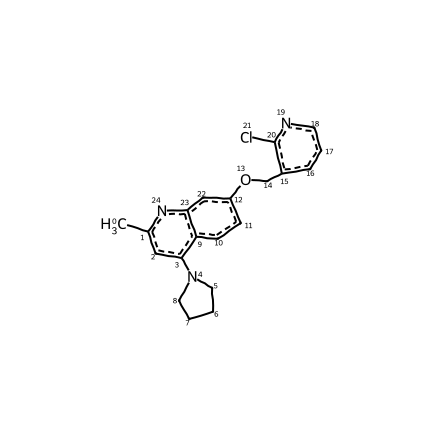 Cc1cc(N2CCCC2)c2ccc(OCc3cccnc3Cl)cc2n1